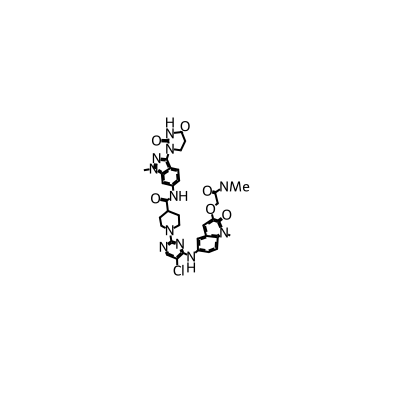 CNC(=O)COc1cc2cc(Nc3nc(N4CCC(C(=O)Nc5ccc6c(N7CCC(=O)NC7=O)nn(C)c6c5)CC4)ncc3Cl)ccc2n(C)c1=O